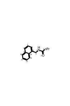 C[CH]CC(=O)NCc1cccc2ccccc12